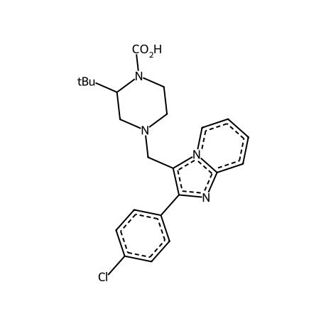 CC(C)(C)C1CN(Cc2c(-c3ccc(Cl)cc3)nc3ccccn23)CCN1C(=O)O